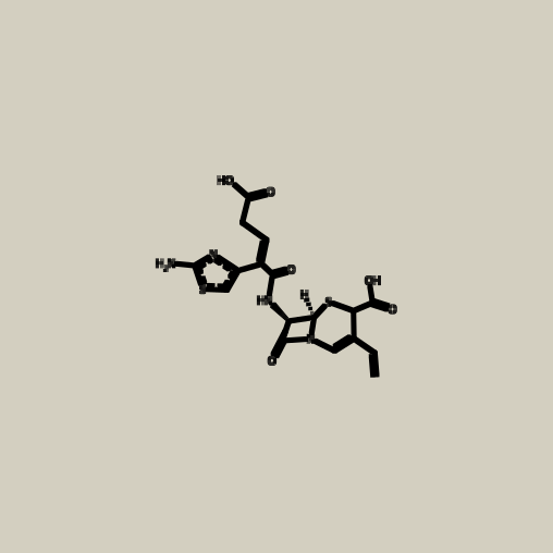 C=CC1=CN2C(=O)[C@@H](NC(=O)/C(=C/CC(=O)O)c3csc(N)n3)[C@H]2SC1C(=O)O